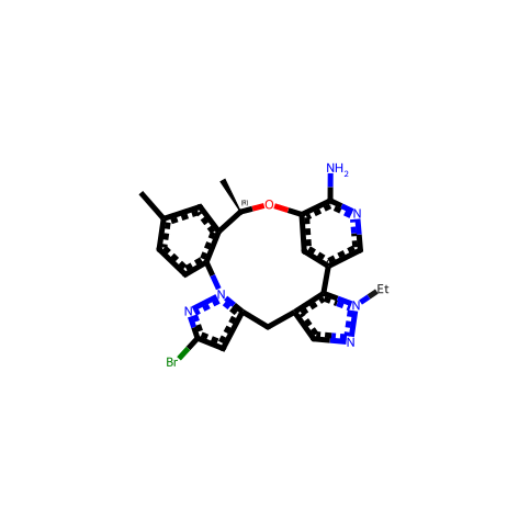 CCn1ncc2c1-c1cnc(N)c(c1)O[C@H](C)c1cc(C)ccc1-n1nc(Br)cc1C2